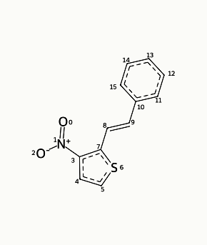 O=[N+]([O-])c1ccsc1C=Cc1ccccc1